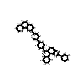 c1ccc(-c2nc3c(ccc4c(-c5ccc(-c6ccc(-c7ccc8ccc9cccnc9c8n7)nc6)cc5)nc5ccccc5c43)o2)cc1